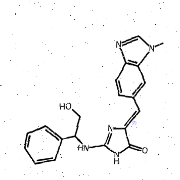 Cn1cnc2ccc(/C=C3\N=C(NC(CO)c4ccccc4)NC3=O)cc21